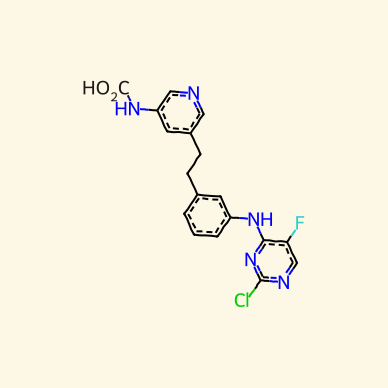 O=C(O)Nc1cncc(CCc2cccc(Nc3nc(Cl)ncc3F)c2)c1